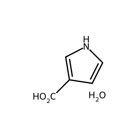 O.O=C(O)c1cc[nH]c1